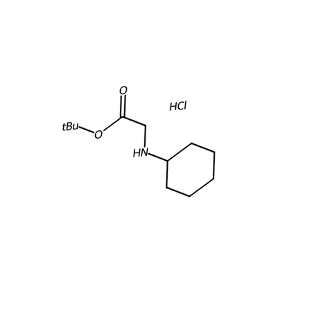 CC(C)(C)OC(=O)CNC1CCCCC1.Cl